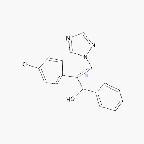 OC(/C(=C/n1cncn1)c1ccc(Cl)cc1)c1ccccc1